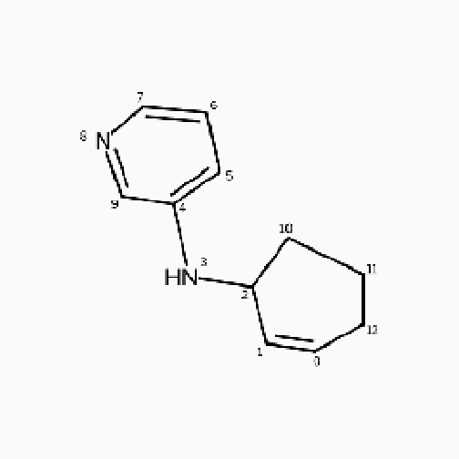 C1=CC(Nc2cccnc2)CCC1